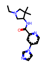 CCN1CC(NC(=O)c2cc(-n3ccnc3)ccn2)C(C)(C)C1